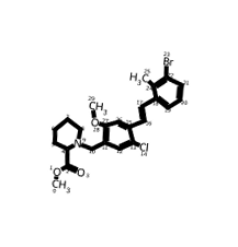 COC(=O)C1CCCCN1Cc1cc(Cl)c(/C=C/c2cccc(Br)c2C)cc1OC